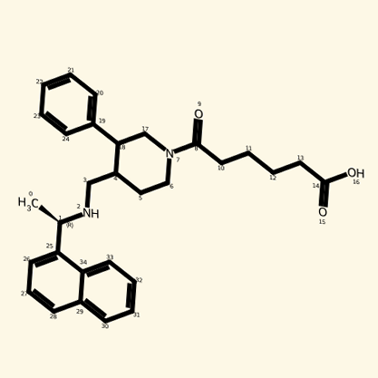 C[C@@H](NCC1CCN(C(=O)CCCCC(=O)O)CC1c1ccccc1)c1cccc2ccccc12